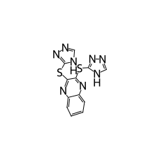 c1ccc2nc(Sc3nnc[nH]3)c(Sc3nnc[nH]3)nc2c1